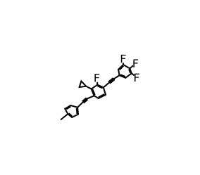 Cc1ccc(C#Cc2ccc(C#Cc3cc(F)c(F)c(F)c3)c(F)c2C2CC2)cc1